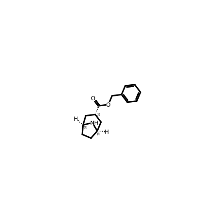 O=C(OCc1ccccc1)[C@@H]1C[C@H]2CC[C@@H](C1)N2